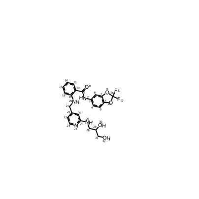 O=C(Nc1ccc2c(c1)OC(F)(F)O2)c1ccccc1NCc1ccnc(NCC(O)CO)c1